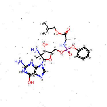 CCCC(CCC)COC(=O)[C@H](C)NP(=O)(OC[C@H]1O[C@@H](n2cnc3c(O)nc(N)nc32)[C@](C)(N)[C@@H]1O)Oc1ccccc1